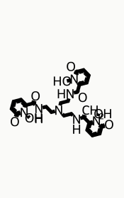 C=C(NCCN(CCNC(=O)c1cccc(=O)n1O)CCNC(=O)c1cccc(=O)n1O)c1cccc(=O)n1O